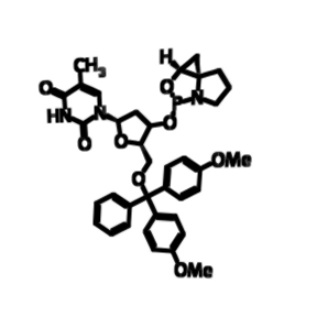 COc1ccc(C(OC[C@H]2O[C@@H](n3cc(C)c(=O)[nH]c3=O)CC2O[P@@]2O[C@@H]3C[C@]34CCCN24)(c2ccccc2)c2ccc(OC)cc2)cc1